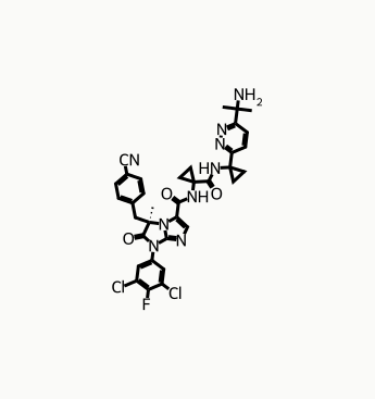 CC(C)(N)c1ccc(C2(NC(=O)C3(NC(=O)c4cnc5n4[C@](C)(Cc4ccc(C#N)cc4)C(=O)N5c4cc(Cl)c(F)c(Cl)c4)CC3)CC2)nn1